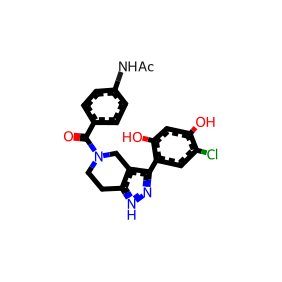 CC(=O)Nc1ccc(C(=O)N2CCc3[nH]nc(-c4cc(Cl)c(O)cc4O)c3C2)cc1